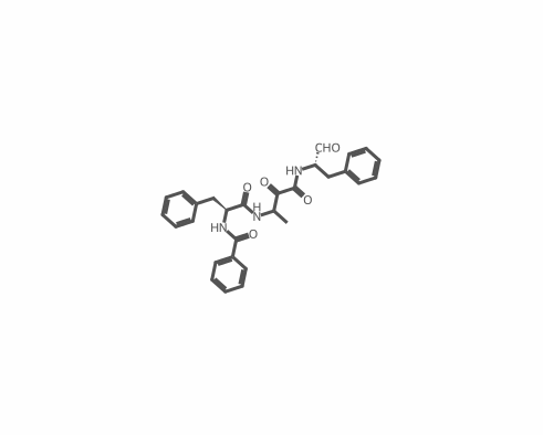 CC(NC(=O)[C@H](Cc1ccccc1)NC(=O)c1ccccc1)C(=O)C(=O)N[C@H](C=O)Cc1ccccc1